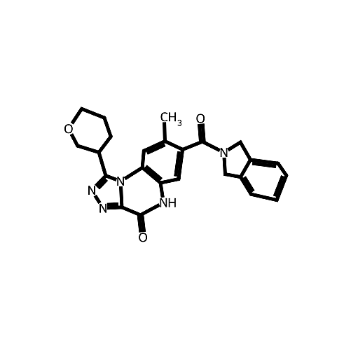 Cc1cc2c(cc1C(=O)N1Cc3ccccc3C1)[nH]c(=O)c1nnc(C3CCCOC3)n12